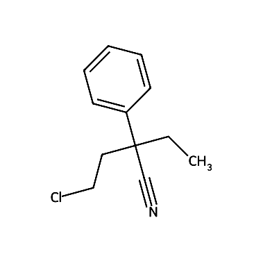 CCC(C#N)(CCCl)c1ccccc1